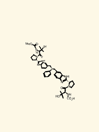 COC(=O)N[C@H](C(=O)N1CCC[C@H]1c1nc2ccc(CN(Cc3ccc4nc([C@@H]5CCCN5C(=O)[C@@H](NC(=O)O)C(C)(C)O)[nH]c4c3)c3ccccc3)cc2[nH]1)C(C)(C)O